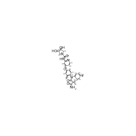 NC(=O)C1(C(=O)N(c2ccc(F)cc2)c2ccc(Oc3ccnc(NC(=O)N4CC(O)C(O)C4)c3)cc2F)CC1